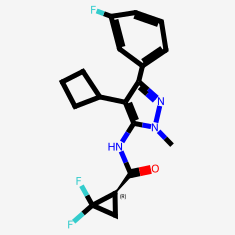 Cn1nc(-c2cccc(F)c2)c(C2CCC2)c1NC(=O)[C@H]1CC1(F)F